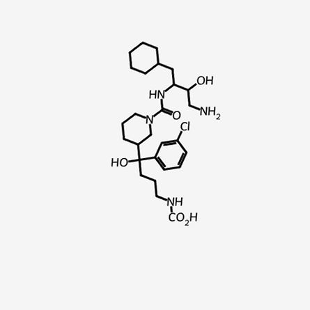 NCC(O)C(CC1CCCCC1)NC(=O)N1CCCC(C(O)(CCCNC(=O)O)c2cccc(Cl)c2)C1